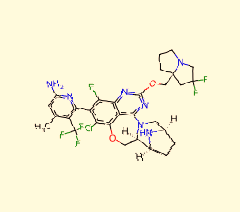 Cc1cc(N)nc(-c2c(Cl)c3c4c(nc(OC[C@@]56CCCN5CC(F)(F)C6)nc4c2F)N2C[C@H]4CC[C@H](N4)[C@H]2CO3)c1C(F)(F)F